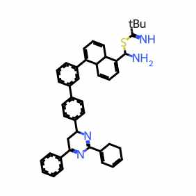 CC(C)(C)C(=N)SC(N)C1=CC=CC2C(c3cccc(-c4ccc(C5CC(c6ccccc6)=NC(C6=CC=CCC6)=N5)cc4)c3)=CC=CC12